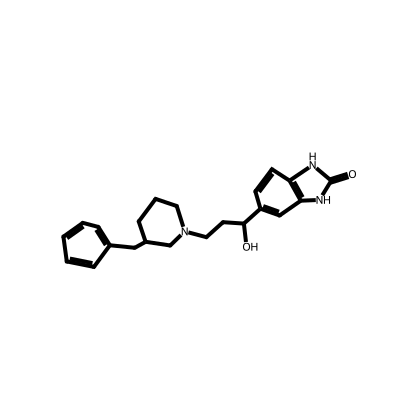 O=c1[nH]c2ccc(C(O)CCN3CCCC(Cc4ccccc4)C3)cc2[nH]1